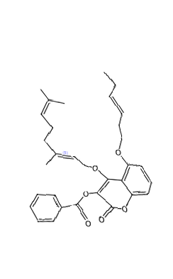 CCC=CCCOc1cccc2oc(=O)c(OC(=O)c3ccccc3)c(OC/C=C(\C)CCC=C(C)C)c12